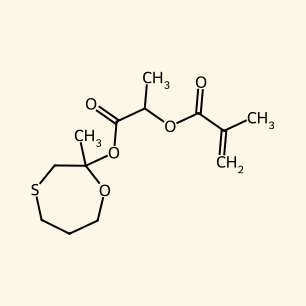 C=C(C)C(=O)OC(C)C(=O)OC1(C)CSCCCO1